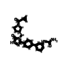 NC(=O)Nc1cccc(-c2ccc(-c3n[nH]c(=O)n3C[C@@H]3CCN(C(=O)C4CC4)C3)cc2)c1